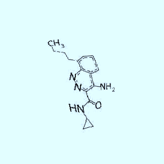 CCCCc1cccc2c(N)c(C(=O)NC3CC3)nnc12